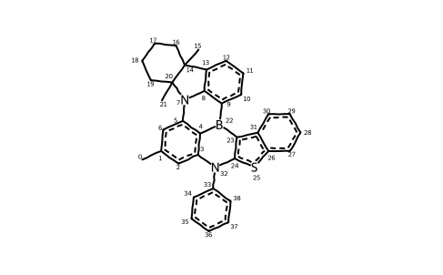 Cc1cc2c3c(c1)N1c4c(cccc4C4(C)CCCCC14C)B3c1c(sc3ccccc13)N2c1ccccc1